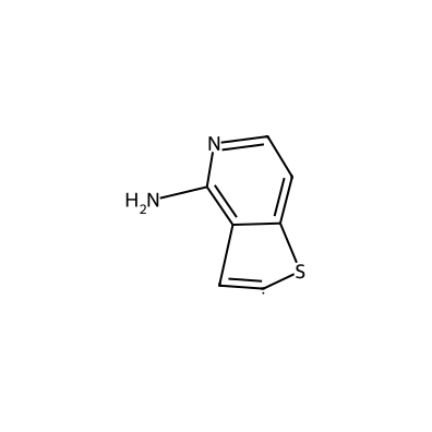 Nc1nccc2s[c]cc12